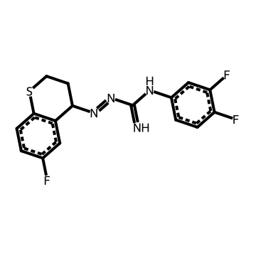 N=C(N=NC1CCSc2ccc(F)cc21)Nc1ccc(F)c(F)c1